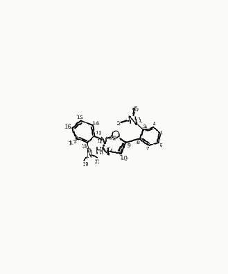 CN(C)c1ccccc1C1=CNN(c2ccccc2N(C)C)O1